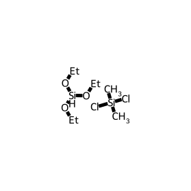 CCO[SiH](OCC)OCC.C[Si](C)(Cl)Cl